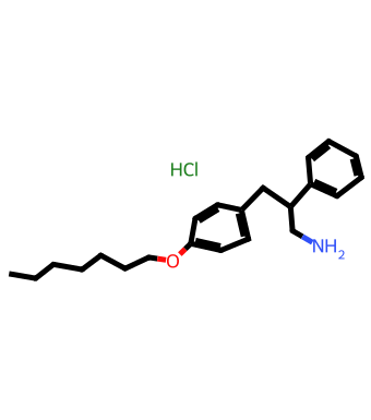 CCCCCCCOc1ccc(CC(CN)c2ccccc2)cc1.Cl